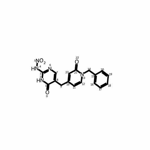 O=c1[nH]c(N[N+](=O)[O-])ncc1Cc1ccn(Cc2ccccc2)c(=O)c1